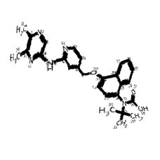 Cc1ncc(Nc2cc(COc3ccc(N(C(=O)O)C(C)(C)C)c4ccccc34)ccn2)nc1C